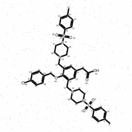 Cc1ccc(S(=O)(=O)N2CCN(Cc3cc(CC(=O)O)cc(CN4CCN(S(=O)(=O)c5ccc(C)cc5)CC4)c3OCc3ccc(Cl)cc3)CC2)cc1